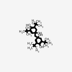 CC(C)(C)C1=CC(O)(CC2(O)C=C(C(C)(C)C)C(O)=C(C(C)(C)C)C2)CC(C(C)(C)C)=C1O